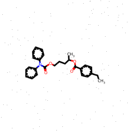 CCc1ccc(C(=O)OC(C)CCCOC(=O)N(c2ccccc2)c2ccccc2)cc1